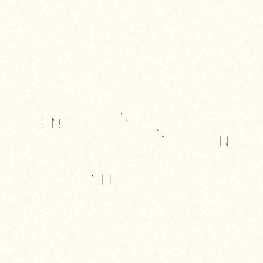 CN(C(=N)N)n1ccnc1